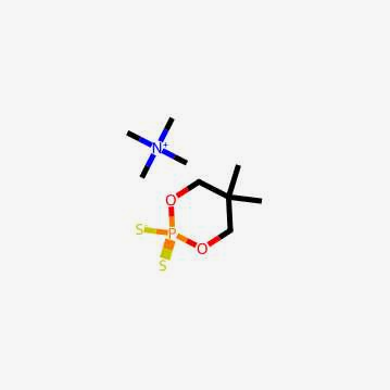 CC1(C)COP(=S)([S-])OC1.C[N+](C)(C)C